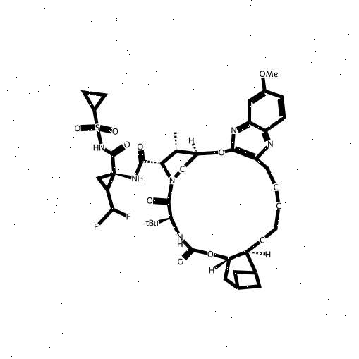 COc1ccc2nc3c(nc2c1)O[C@H]1CN(C(=O)[C@H](C(C)(C)C)NC(=O)O[C@H]2CC4CC(C4)[C@@H]2CCCCC3)[C@H](C(=O)N[C@]2(C(=O)NS(=O)(=O)C3CC3)CC2C(F)F)[C@@H]1C